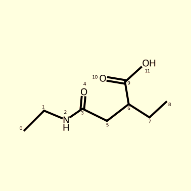 CCNC(=O)CC(CC)C(=O)O